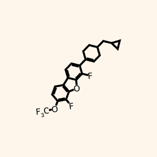 Fc1c(OC(F)(F)F)ccc2c1oc1c(F)c(C3=CCC(CC4CC4)CC3)ccc12